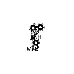 CNCc1ccc(C2(NC(=O)Cn3c4ccccc4c4cccnc43)CC2)cc1F